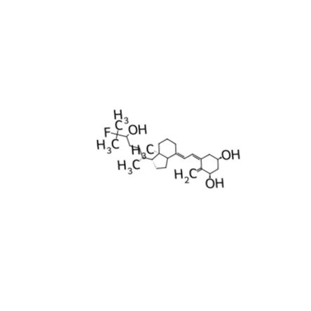 C=C1/C(=C\C=C2CCC[C@@]3(C)C2CC[C@@H]3[C@H](C)CCC(O)C(C)(C)F)C[C@@H](O)C[C@H]1O